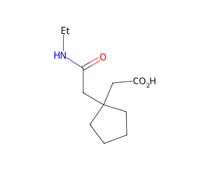 CCNC(=O)CC1(CC(=O)O)CCCC1